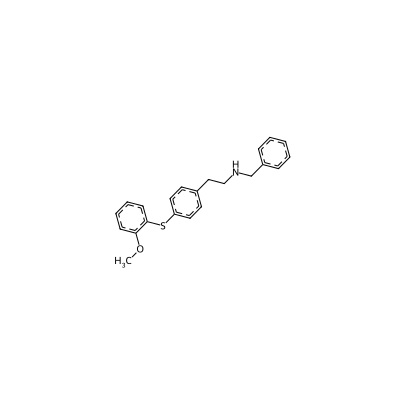 COc1ccccc1Sc1ccc(CCNCc2ccccc2)cc1